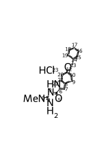 CNC(N)=NC(=O)c1cc2ccc(OCc3ccccc3)cc2[nH]1.Cl